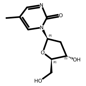 Cc1cnc(=O)n([C@H]2C[C@H](O)[C@@H](CO)O2)c1